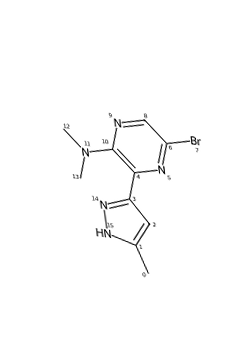 Cc1cc(-c2nc(Br)cnc2N(C)C)n[nH]1